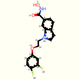 O=C(NO)c1ccc2ccn(CCOc3ccc(F)c(F)c3)c2c1